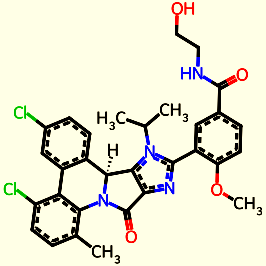 COc1ccc(C(=O)NCCO)cc1-c1nc2c(n1C(C)C)[C@@H]1c3ccc(Cl)cc3-c3c(Cl)ccc(C)c3N1C2=O